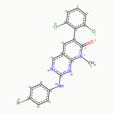 Cn1c(=O)c(-c2c(Cl)cccc2Cl)cc2cnc(Nc3ccc(Br)cc3)nc21